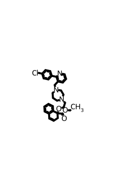 CCOC(=O)C1(OCCN2CCCN(Cc3cccnc3-c3ccc(Cl)cc3)CC2)CC=Cc2ccccc21